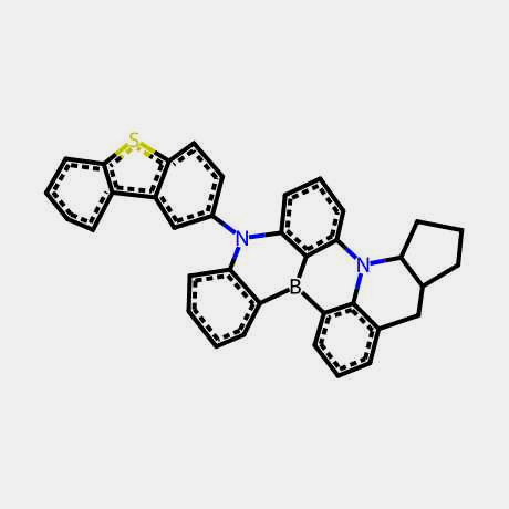 c1ccc2c(c1)B1c3cccc4c3N(c3cccc(c31)N2c1ccc2sc3ccccc3c2c1)C1CCCC1C4